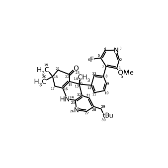 COc1cncc(F)c1-c1cccc([C@@]2(C)C3=C(CC(C)(C)CC3=O)Nc3ncc(CC(C)(C)C)cc32)c1